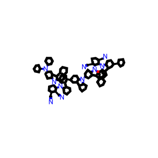 N#Cc1ccc(-n2c3ccc(N(c4ccccc4)c4ccccc4)cc3c3c4ccccc4ccc32)c(-n2c3ccccc3c3c(-c4ccc5c(c4)c4ccccc4n5-c4ccc5c(c4)c4c6ccccc6ccc4n5-c4c(C#N)ccc(C#N)c4-n4c5ccccc5c5cc(-c6ccccc6)ccc54)cccc32)c1C#N